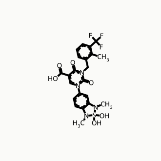 Cc1c(Cn2c(=O)c(C(=O)O)cn(-c3ccc4c(c3)N(C)S(O)(O)N4C)c2=O)cccc1C(F)(F)F